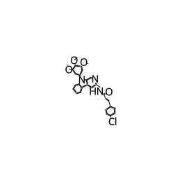 COc1cc(-n2c3ccccc3c3cc(CNC(=O)/C=C/c4ccc(Cl)cc4)ncc32)cc(OC)c1OC